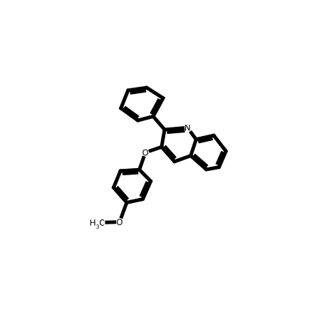 COc1ccc(Oc2cc3ccccc3nc2-c2ccccc2)cc1